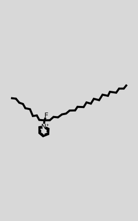 CCCCCCCCCCCCCCCCCCCCC(F)(CCCCCCCCC)[n+]1ccccc1